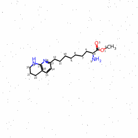 COC(=O)[C@@H](N)CCCCCCCc1ccc2c(n1)NCCC2